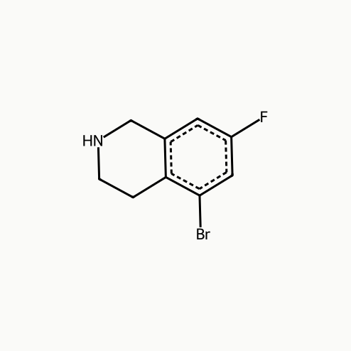 Fc1cc(Br)c2c(c1)CNCC2